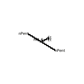 CCCCCC=CCC=CCCCCCCCCC(CCCCCCCCC=CCC=CCCCCC)N(CCCCN(CC)CC)C(=O)O